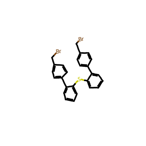 BrCc1ccc(-c2ccccc2Sc2ccccc2-c2ccc(CBr)cc2)cc1